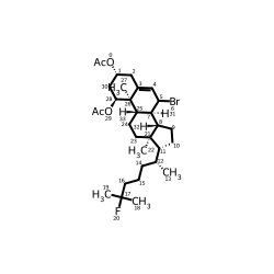 CC(=O)O[C@@H]1CC2=CC(Br)[C@H]3[C@@H]4CC[C@H]([C@H](C)CCCC(C)(C)F)[C@@]4(C)CC[C@@H]3[C@@]2(C)[C@@H](OC(C)=O)C1